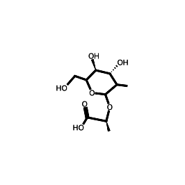 CC1C(O[C@@H](C)C(=O)O)OC(CO)[C@@H](O)[C@@H]1O